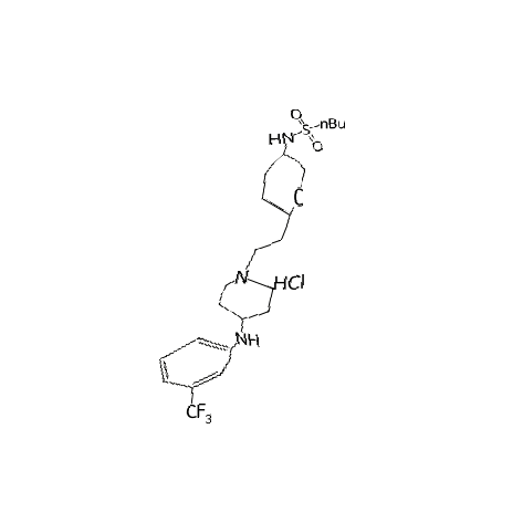 CCCCS(=O)(=O)NC1CCC(CCN2CCC(Nc3cccc(C(F)(F)F)c3)CC2)CC1.Cl